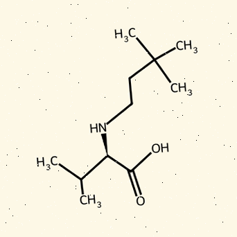 CC(C)[C@@H](NCCC(C)(C)C)C(=O)O